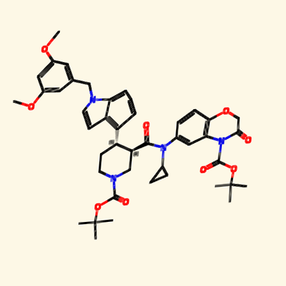 COc1cc(Cn2ccc3c([C@H]4CCN(C(=O)OC(C)(C)C)C[C@@H]4C(=O)N(c4ccc5c(c4)N(C(=O)OC(C)(C)C)C(=O)CO5)C4CC4)cccc32)cc(OC)c1